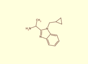 CC(N)c1nc2ccccc2n1CC1CC1